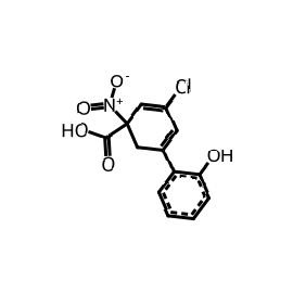 O=C(O)C1([N+](=O)[O-])C=C(Cl)C=C(c2ccccc2O)C1